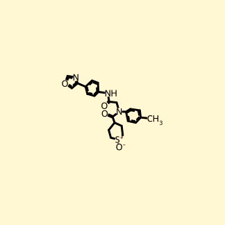 Cc1ccc(N(CC(=O)Nc2ccc(-c3cocn3)cc2)C(=O)C2CC[S+]([O-])CC2)cc1